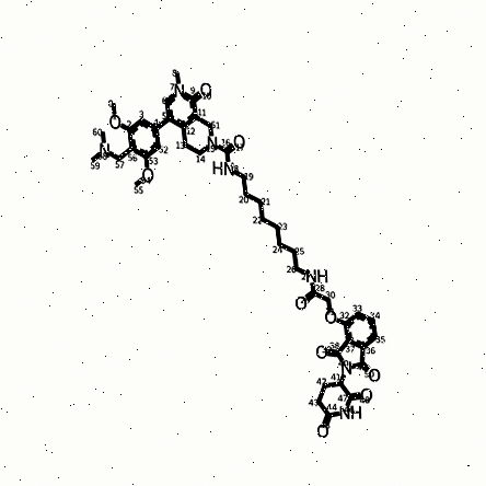 COc1cc(-c2cn(C)c(=O)c3c2CCN(C(=O)NCCCCCCCCNC(=O)COc2cccc4c2C(=O)N(C2CCC(=O)NC2=O)C4=O)C3)cc(OC)c1CN(C)C